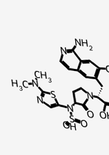 CN(C)c1ncc(N([C@H]2CCN([C@H](Cc3cc4ccnc(N)c4cc3Cl)C(=O)O)C2=O)[SH](=O)=O)s1